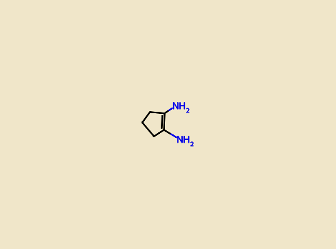 NC1=C(N)CCC1